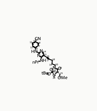 CCCNc1nc(Nc2ccc(C#N)cc2)ncc1C#CCCCNC(=O)[C@H](COC)N(C)C(=O)OC(C)(C)C